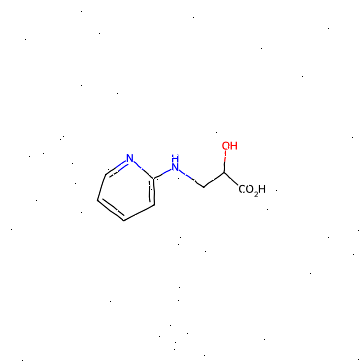 O=C(O)C(O)CNc1ccccn1